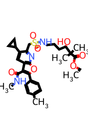 CCOC(=O)C(C)(C)C(O)CCCNS(=O)(=O)Cc1nc2oc(-c3ccc(C)cc3)c(C(=O)NC)c2cc1C1CC1